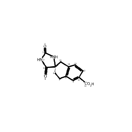 O=C1NC(=O)[C@@]2(CCc3cc(C(=O)O)ccc3C2)N1